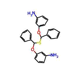 Nc1cccc(OC(SC(Oc2cccc(N)c2)c2ccccc2)c2ccccc2)c1